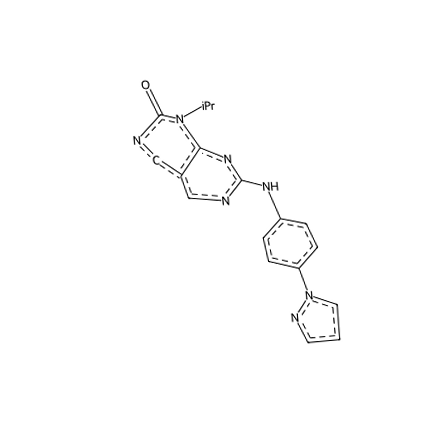 CC(C)n1c(=O)ncc2cnc(Nc3ccc(-n4cccn4)cc3)nc21